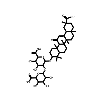 CC1(C(=O)N=O)CCC2(C)CCC3(C)C(=CC(=O)C4C5(C)CCC(OC6OC(C(=O)N=O)C(O)C(O)C6OC6OC(C(=O)N=O)C(O)C(O)C6O)C(C)(C)C5CCC43C)C2C1